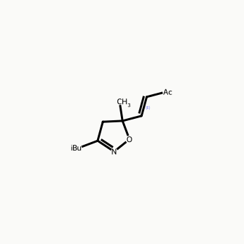 CCC(C)C1=NOC(C)(/C=C/C(C)=O)C1